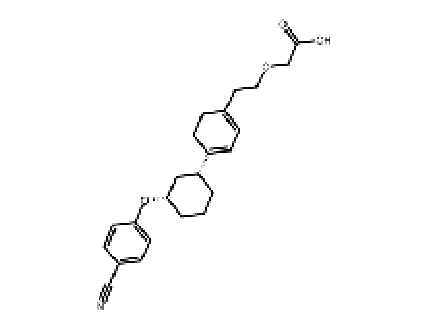 N#Cc1ccc(O[C@H]2CCC[C@@H](C3=CC=C(CCOCC(=O)O)CC3)C2)cc1